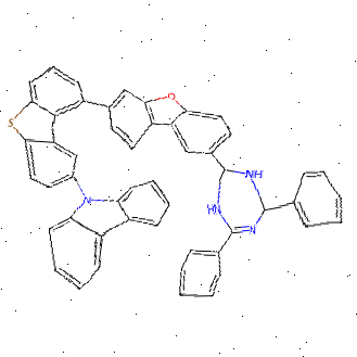 c1ccc(C2=NC(c3ccccc3)NC(c3ccc4oc5cc(-c6cccc7sc8ccc(-n9c%10ccccc%10c%10ccccc%109)cc8c67)ccc5c4c3)N2)cc1